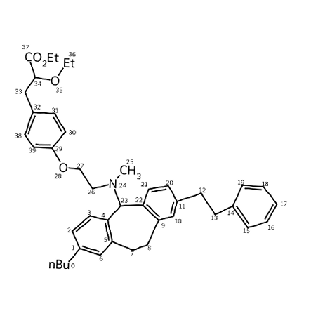 CCCCc1ccc2c(c1)CCc1cc(CCc3ccccc3)ccc1C2N(C)CCOc1ccc(CC(OCC)C(=O)OCC)cc1